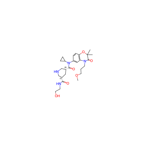 COCCCN1C(=O)C(C)(C)Oc2ccc(N(C(=O)[C@H]3CNC[C@@H](C(=O)NCCO)C3)C3CC3)cc21